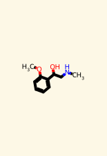 CNCC(O)c1ccccc1OC